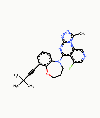 Cc1nnc2nc(N3CCCOc4c(C#CC(C)(C)C(F)(F)F)cccc43)c3c(F)cncc3n12